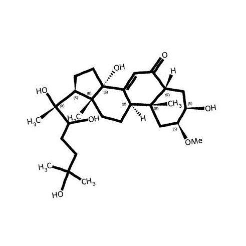 CO[C@H]1C[C@@]2(C)[C@@H](C[C@H]1O)C(=O)C=C1[C@@H]2CC[C@]2(C)[C@@H]([C@@](C)(O)C(O)CCC(C)(C)O)CC[C@@]12O